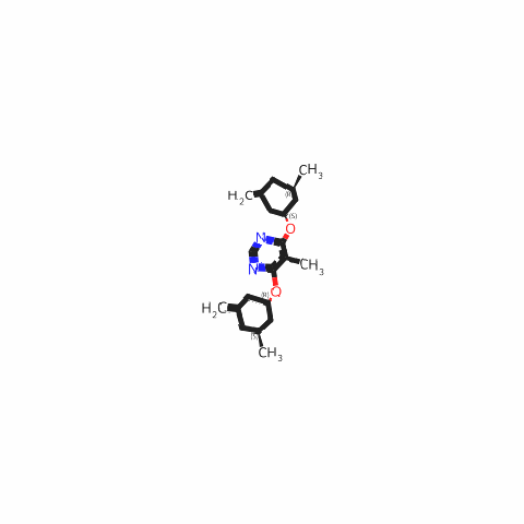 C=C1C[C@@H](C)C[C@H](Oc2ncnc(O[C@H]3CC(=C)C[C@H](C)C3)c2C)C1